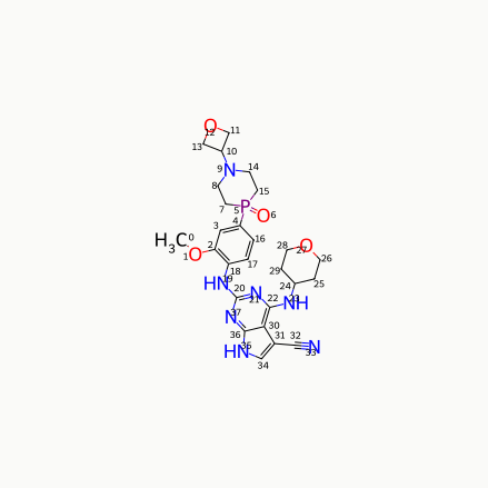 COc1cc(P2(=O)CCN(C3COC3)CC2)ccc1Nc1nc(NC2CCOCC2)c2c(C#N)c[nH]c2n1